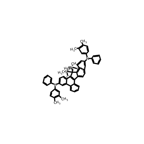 Cc1ccc(N(c2ccccc2)c2ccc3c4c(ccc3c2)-c2c(c3ccc(N(c5ccccc5)c5ccc(C)c(C)c5)cc3c3ccccc23)C4([Si](C)(C)C)[Si](C)(C)C)cc1C